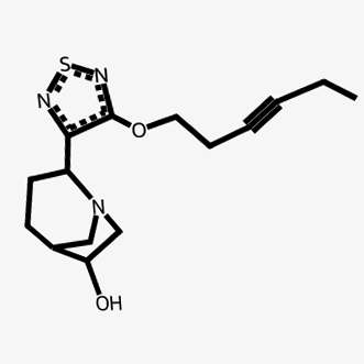 CCC#CCCOc1nsnc1C1CCC2CN1CC2O